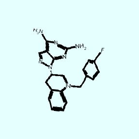 Nc1nc(N)c2cnn([C@H]3Cc4ccccc4N(Cc4ccc(F)cc4)C3)c2n1